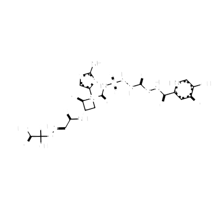 CC(C)(ON=CC(=O)N[C@H]1C[N+](C(=O)NS(=O)(=O)NNC(=O)NNC(=O)c2cc(=O)c(O)c[nH]2)(c2csc(N)n2)C1=O)C(=O)O